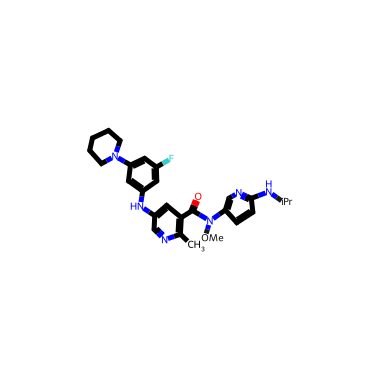 CON(C(=O)c1cc(Nc2cc(F)cc(N3CCCCC3)c2)cnc1C)c1ccc(NC(C)C)nc1